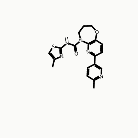 Cc1ccc(-c2ccc3c(n2)N(C(=O)Nc2nc(C)cs2)CCCO3)cn1